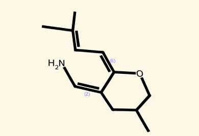 CC(C)=C/C=C1/OCC(C)C/C1=C/N